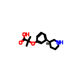 CC(C)(Oc1cccc([C@@H]2CCCNC2)c1)C(=O)O